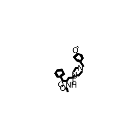 COc1ccc(CN2CCN(C(F)CC(NC(C)=O)C(=O)c3ccccc3)CC2)cc1